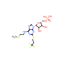 CSCCNc1nc(SCCC(F)(F)F)nc2c1ncn2[C@@H]1O[C@H](COP(=O)(O)O)C(O)C1O